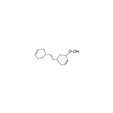 OOC1C=CCC(/C=C/C2CC=CCC2)C1